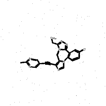 COCc1nnc2n1Cc1c(C#Cc3cnc(C)nc3)ncn1-c1ccc(Cl)cc1-2